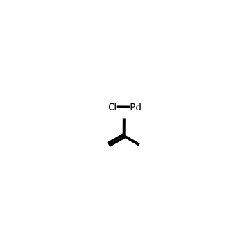 C=C(C)C.[Cl][Pd]